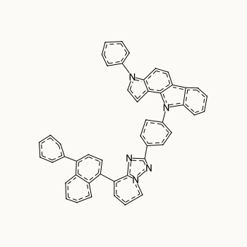 c1ccc(-c2ccc(-c3cccn4nc(-c5ccc(-n6c7ccccc7c7ccc8c(ccn8-c8ccccc8)c76)cc5)nc34)c3ccccc23)cc1